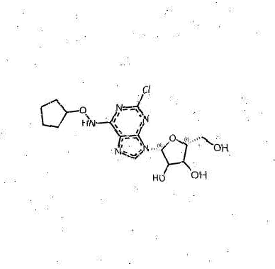 OC[C@H]1O[C@@H](n2cnc3c(NOC4CCCC4)nc(Cl)nc32)C(O)C1O